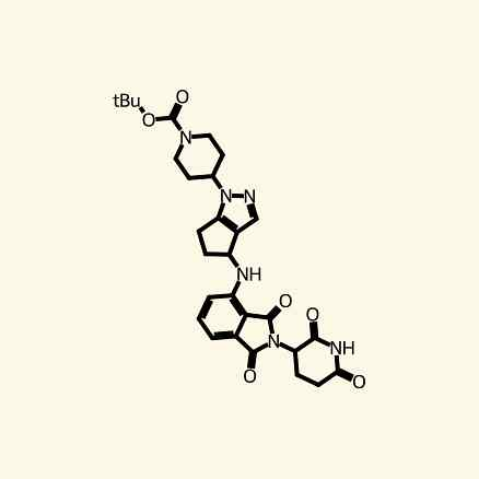 CC(C)(C)OC(=O)N1CCC(n2ncc3c2CCC3Nc2cccc3c2C(=O)N(C2CCC(=O)NC2=O)C3=O)CC1